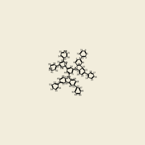 c1ccc(-c2ccc3c(c2)c2cc(-c4ccccc4)ccc2n3-c2cc(-c3nc(-c4ccncc4)cc(-c4ccncc4)n3)cc(-n3c4ccc(-c5ccccc5)cc4c4cc(-c5ccccc5)ccc43)c2)cc1